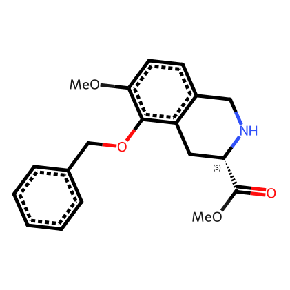 COC(=O)[C@@H]1Cc2c(ccc(OC)c2OCc2ccccc2)CN1